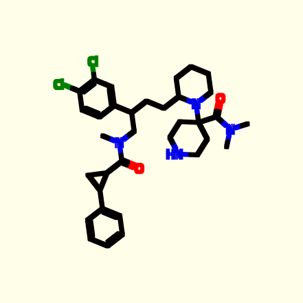 CN(C)C(=O)C1(N2CCCCC2CCC(CN(C)C(=O)C2CC2c2ccccc2)c2ccc(Cl)c(Cl)c2)CCNCC1